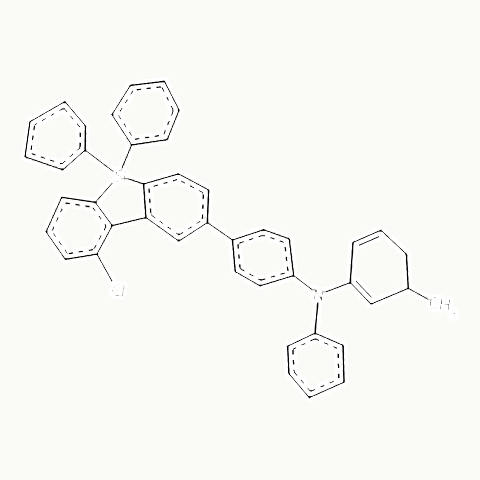 CC1C=C(N(c2ccccc2)c2ccc(-c3ccc4c(c3)-c3c(Cl)cccc3[Si]4(c3ccccc3)c3ccccc3)cc2)C=CC1